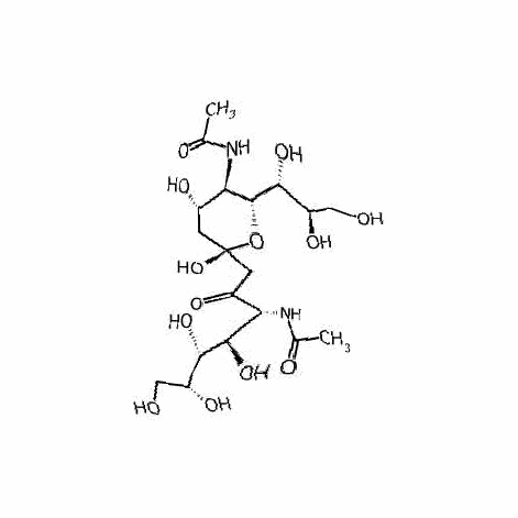 CC(=O)N[C@H]1[C@H]([C@H](O)[C@H](O)CO)O[C@](O)(CC(=O)[C@H](NC(C)=O)[C@@H](O)[C@@H](O)[C@H](O)CO)C[C@@H]1O